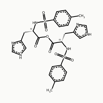 Cc1ccc(S(=O)(=O)N[C@@H](Cc2c[nH]cn2)C(=O)OC(=O)[C@H](Cc2c[nH]cn2)NS(=O)(=O)c2ccc(C)cc2)cc1